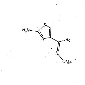 CO/N=C(\C(C)=O)c1csc(N)n1